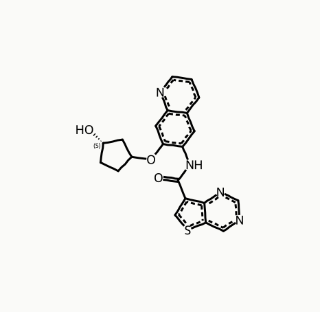 O=C(Nc1cc2cccnc2cc1OC1CC[C@H](O)C1)c1csc2cncnc12